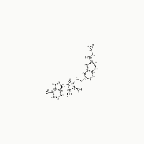 O[C@@H]1[C@H](O)[C@@H](CCc2ccc3ccc(NCC4CC4)nc3c2)O[C@H]1n1ccc2c(Cl)ncnc21